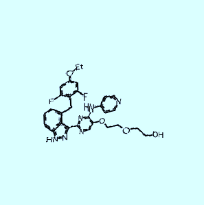 CCOc1cc(F)c(Cc2cccc3[nH]nc(-c4ncc(OCCOCCO)c(Nc5ccncc5)n4)c23)c(F)c1